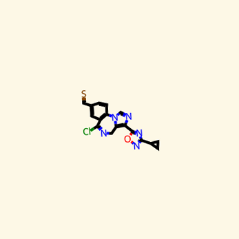 S=Cc1ccc2c(c1)C(Cl)=NCc1c(-c3nc(C4CC4)no3)ncn1-2